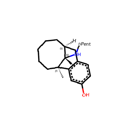 CCCCCN[C@H]1[C@H]2CCCCC[C@]1(C)c1cc(O)ccc1C2